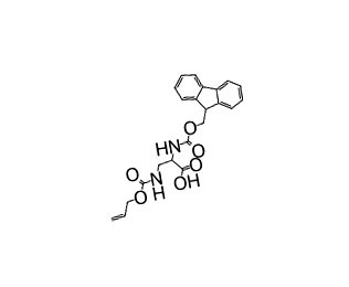 C=CCOC(=O)NCC(NC(=O)OCC1c2ccccc2-c2ccccc21)C(=O)O